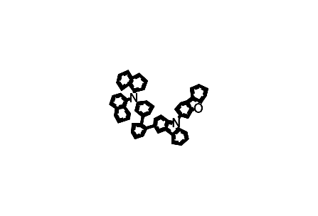 c1cc(-c2ccccc2-c2ccc3c(c2)c2ccccc2n3-c2ccc3c(c2)oc2ccccc23)cc(N(c2cccc3ccccc23)c2cccc3ccccc23)c1